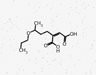 CCCOC(C)CCC(=CC(=O)O)C(=O)O